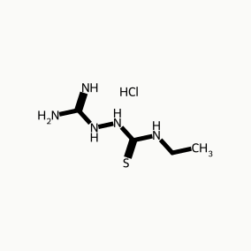 CCNC(=S)NNC(=N)N.Cl